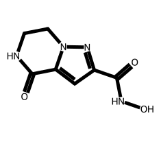 O=C(NO)c1cc2n(n1)CCNC2=O